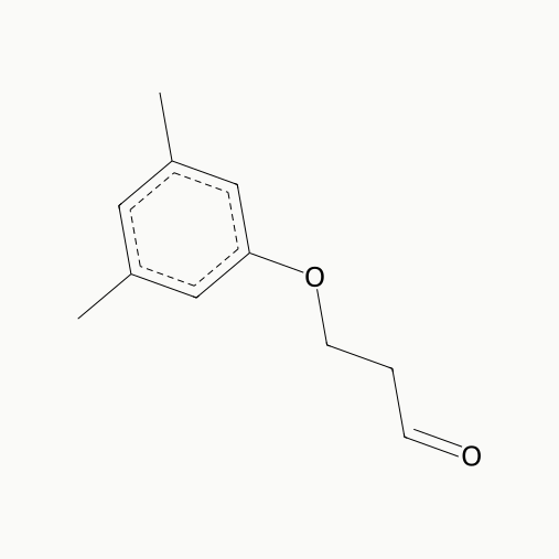 Cc1cc(C)cc(OCCC=O)c1